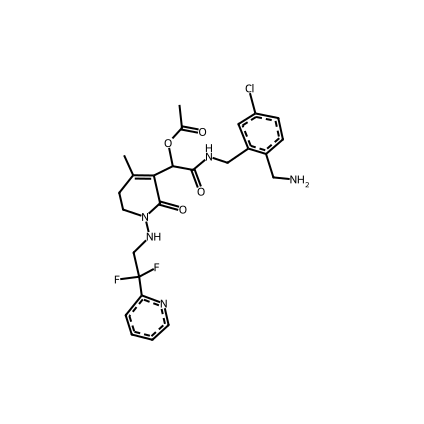 CC(=O)OC(C(=O)NCc1cc(Cl)ccc1CN)C1=C(C)CCN(NCC(F)(F)c2ccccn2)C1=O